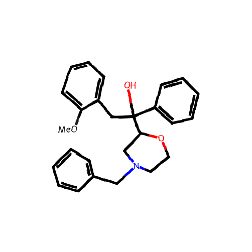 COc1ccccc1CC(O)(c1ccccc1)C1CN(Cc2ccccc2)CCO1